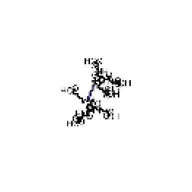 CC1(C)C(/C=C/C=C/C=C2/N(CCCCCC(=O)O)c3cc(C(=O)NCCS(=O)(=O)O)cc(C(=O)NCCCS(=O)(=O)O)c3C2(C)C)=[N+](CCCS(=O)(=O)O)c2cc(C(=O)NCCS(=O)(=O)O)cc(C(=O)NCCS(=O)(=O)O)c21